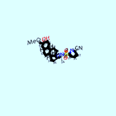 COC[C@@]1(O)CC[C@@H]2C3CC[C@]4(C)[C@@H]([C@@H](C)NS(=O)(=O)c5cccc(C#N)n5)CC[C@H]4[C@@H]3CC[C@@H]2C1